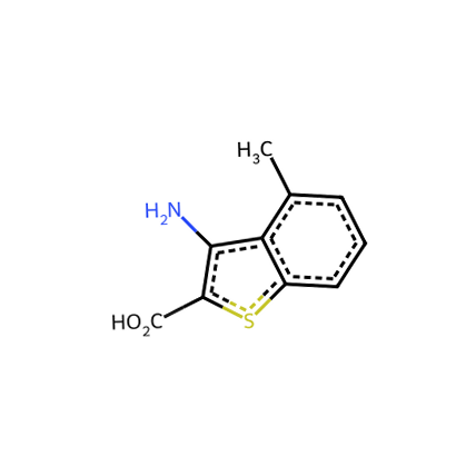 Cc1cccc2sc(C(=O)O)c(N)c12